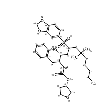 CC(C)(CCCCCl)CN(C[C@@H](O)[C@H](Cc1ccccc1)NC(=O)O[C@H]1CCOC1)S(=O)(=O)c1ccc2c(c1)OCO2